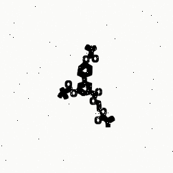 C=C(C)C(=O)OCCOC(=O)c1cc(OC(=O)C(C)(C)C)cc(-c2ccc(OC(=O)C(=C)C)cc2)c1